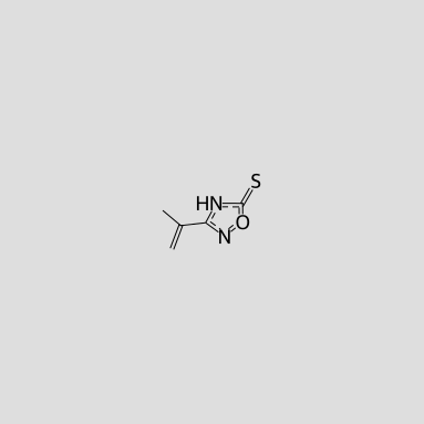 C=C(C)c1noc(=S)[nH]1